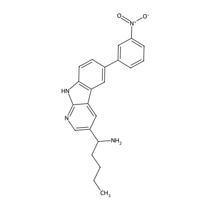 CCCCC(N)c1cnc2[nH]c3ccc(-c4cccc([N+](=O)[O-])c4)cc3c2c1